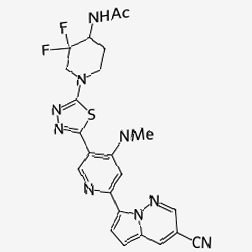 CNc1cc(-c2ccc3cc(C#N)cnn23)ncc1-c1nnc(N2CCC(NC(C)=O)C(F)(F)C2)s1